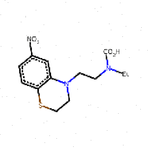 CCN(CCN1CCSc2ccc([N+](=O)[O-])cc21)C(=O)O